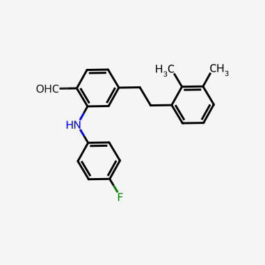 Cc1cccc(CCc2ccc(C=O)c(Nc3ccc(F)cc3)c2)c1C